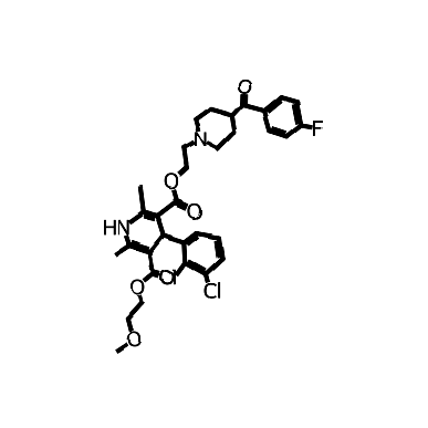 COCCOC(=O)C1=C(C)NC(C)=C(C(=O)OCCN2CCC(C(=O)c3ccc(F)cc3)CC2)C1c1cccc(Cl)c1Cl